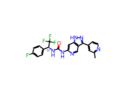 Cc1cc(-c2n[nH]c3cc(NC(=O)N[C@@H](c4ccc(F)cc4)C(F)(F)F)ncc23)ccn1